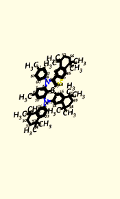 Cc1ccc(N2c3cc(C)cc4c3B(c3cc5c(cc3N4c3ccc4c(c3)C(C)(C)CCC4(C)C)C(C)(C)CCC5(C)C)c3sc4cc5c(cc4c32)C(C)(C)CCC5(C)C)cc1